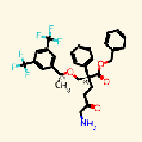 C[C@@H](OC[C@](CCC(=O)CN)(C(=O)OCc1ccccc1)c1ccccc1)c1cc(C(F)(F)F)cc(C(F)(F)F)c1